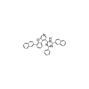 c1ccc(C2=NC(c3ccc4ccccc4c3)NC(c3cncc4oc5c(-c6ccc7ccccc7c6)cccc5c34)=N2)cc1